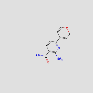 NC(=O)c1ccc(C2=CCOC=C2)nc1N